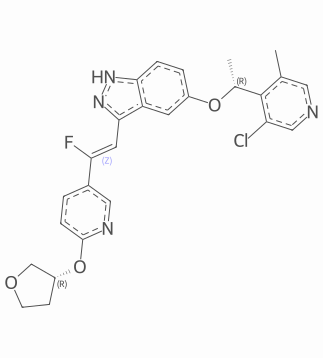 Cc1cncc(Cl)c1[C@@H](C)Oc1ccc2[nH]nc(/C=C(\F)c3ccc(O[C@@H]4CCOC4)nc3)c2c1